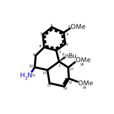 CCCC[C@]12c3cc(OC)ccc3CC(N)C1CC=C(OC)C2OC